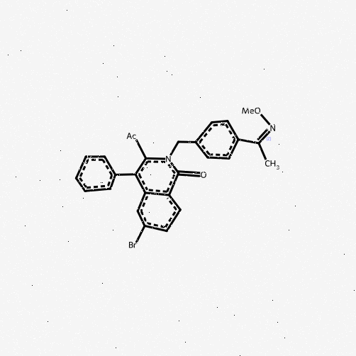 CO/N=C(/C)c1ccc(Cn2c(C(C)=O)c(-c3ccccc3)c3cc(Br)ccc3c2=O)cc1